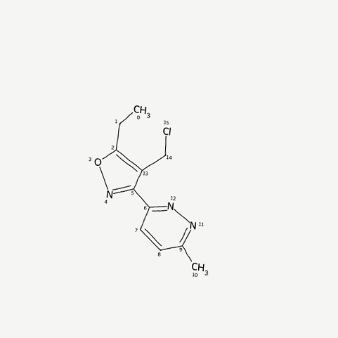 CCc1onc(-c2ccc(C)nn2)c1CCl